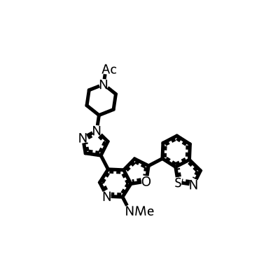 CNc1ncc(-c2cnn(C3CCN(C(C)=O)CC3)c2)c2cc(-c3cccc4cnsc34)oc12